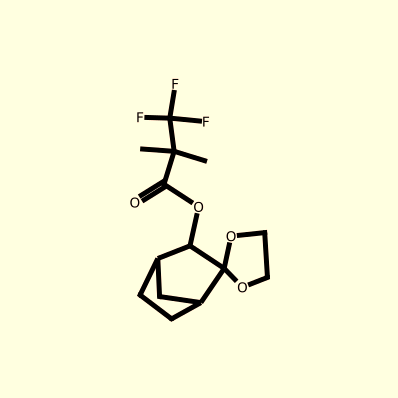 CC(C)(C(=O)OC1C2CCC(C2)C12OCCO2)C(F)(F)F